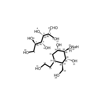 O=C[C@H](O)[C@@H](O)[C@H](O)[C@H](O)CO.OCCN1C[C@H](O)[C@@H](O)[C@H](O)[C@H]1CO.[NaH]